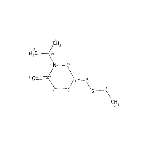 CCSCC1CCC(=O)N(C(C)C)C1